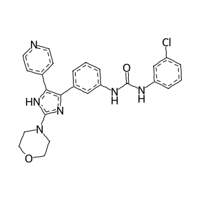 O=C(Nc1cccc(Cl)c1)Nc1cccc(-c2nc(N3CCOCC3)[nH]c2-c2ccncc2)c1